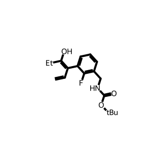 C=C/C(=C(/O)CC)c1cccc(CNC(=O)OC(C)(C)C)c1F